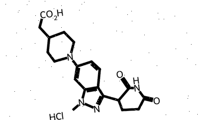 Cl.Cn1nc(C2CCC(=O)NC2=O)c2ccc(N3CCC(CC(=O)O)CC3)cc21